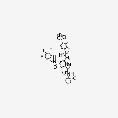 Cc1c(C(=O)OC(C)(C)C)ccc2c1CC[C@@H]2NC(=O)c1cc(C(=O)NCc2cc(F)c(F)c(F)c2)nc2c(C(=O)Nc3ccccc3Cl)cnn12